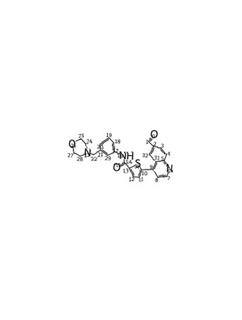 O=Cc1ccc2nccc(-c3ccc(C(=O)Nc4cccc(CN5CCOCC5)c4)s3)c2c1